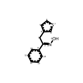 O/N=C(\Cc1ccsc1)c1ccccc1